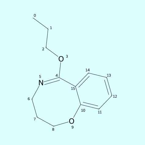 CCCO/C1=N/CCCOc2ccccc21